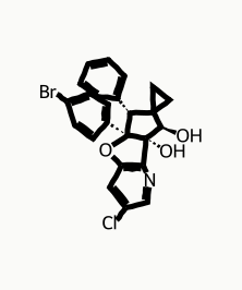 O[C@@H]1C2(CC2)[C@@H](c2ccccc2)[C@]2(c3ccc(Br)cc3)Oc3cc(Cl)cnc3[C@]12O